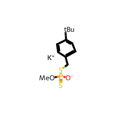 COP([O-])(=S)SCc1ccc(C(C)(C)C)cc1.[K+]